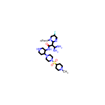 CCCCCN1CC(F)C=NC1C(C(=O)NC1CNCCC1N1CCN(S(=O)(=O)C2CCN(C)CC2)CC1)C(N)N